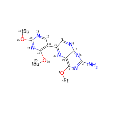 CCOc1nc(N)nc2ncc(-c3cnc(OC(C)(C)C)nc3OC(C)(C)C)nc12